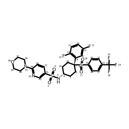 O=S(=O)(N[C@H]1CC[C@@](c2cc(F)ccc2F)(S(=O)(=O)c2ccc(C(F)(F)F)cc2)CC1)c1ccc(N2CCOCC2)nc1